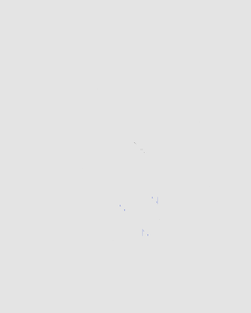 c1ccc(-c2cccc(-c3nc(-c4cccc5oc6ccc(-c7ccc8c(c7)C7(c9ccccc9-c9ccccc97)c7ccccc7-8)cc6c45)nc(-c4cccc5sc6ccccc6c45)n3)c2)cc1